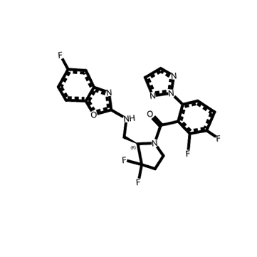 O=C(c1c(-n2nccn2)ccc(F)c1F)N1CCC(F)(F)[C@H]1CNc1nc2cc(F)ccc2o1